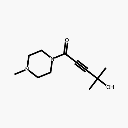 CN1CCN(C(=O)C#CC(C)(C)O)CC1